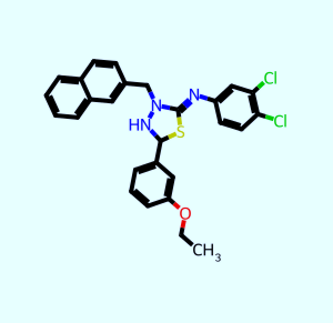 CCOc1cccc(C2NN(Cc3ccc4ccccc4c3)C(=Nc3ccc(Cl)c(Cl)c3)S2)c1